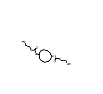 COCCOC(=O)OC1CCCCCC(OC(=O)OCCOC)CCCC1